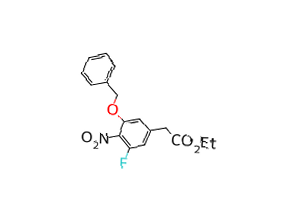 CCOC(=O)Cc1cc(F)c([N+](=O)[O-])c(OCc2ccccc2)c1